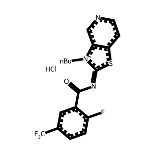 CCCCn1c(=NC(=O)c2cc(C(F)(F)F)ccc2F)sc2ccncc21.Cl